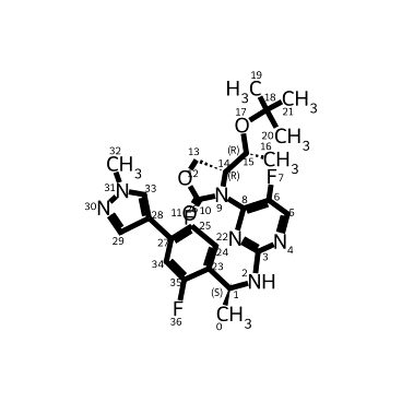 C[C@H](Nc1ncc(F)c(N2C(=O)OC[C@@H]2[C@@H](C)OC(C)(C)C)n1)c1cc(F)c(-c2cnn(C)c2)cc1F